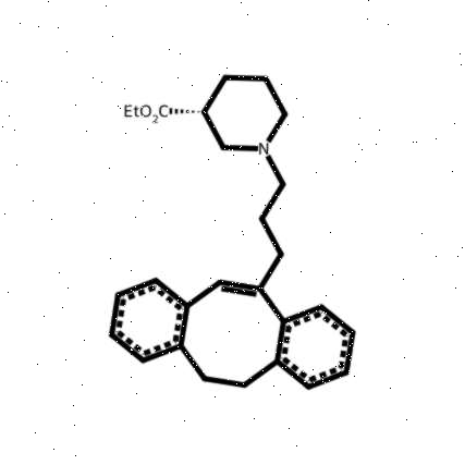 CCOC(=O)[C@@H]1CCCN(CCCC2=Cc3ccccc3CCc3ccccc32)C1